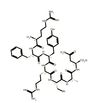 CC(C)C[C@H](NC(=O)[C@H](CCCNC(=N)N)NC(=O)[C@H](Cc1ccc(O)cc1)NC(=O)[C@H](Cc1ccccc1)NC(=O)[C@@H](N)CCCNC(=N)N)C(=O)N[C@@H](C)C(=O)N[C@@H](CC(N)=O)C(=O)O